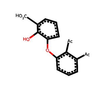 CC(=O)c1cccc(Oc2cccc(C(=O)O)c2O)c1C(C)=O